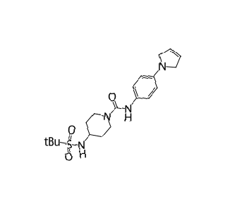 CC(C)(C)S(=O)(=O)NC1CCN(C(=O)Nc2ccc(N3CC=CC3)cc2)CC1